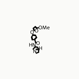 COc1ccc(Oc2ccc(C(=O)N[C@@H]3C[C@@H]4CCN(C4)C3)cc2)o1